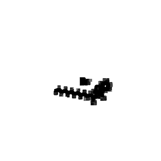 CCCCCCCCCCCCC(C)C[N+](C)(CC)Oc1ccccc1.[Br-]